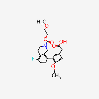 CCOc1ccc(CC(=O)O)cc1-c1ccc(F)c2c1CN(C(=O)OCCOC)CC2